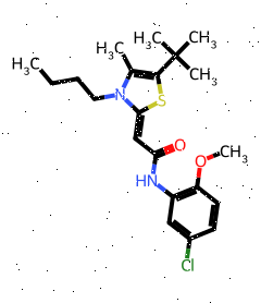 CCCCN1C(=CC(=O)Nc2cc(Cl)ccc2OC)SC(C(C)(C)C)=C1C